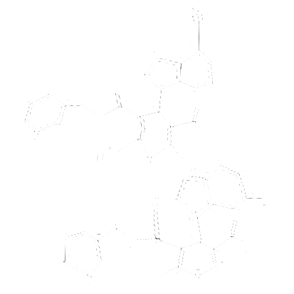 CC(=O)C1=C(C)NC(C)=C(C(=O)OCc2cccnc2)C1c1csc2c(C#N)cccc12.CC(=O)C1=C(C)NC(C)=C(C(=O)OCc2cccnc2)C1c1csc2ccc(Cl)cc12